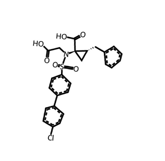 O=C(O)CN([C@]1(C(=O)O)C[C@H]1Cc1ccccc1)S(=O)(=O)c1ccc(-c2ccc(Cl)cc2)cc1